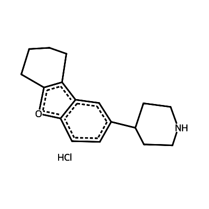 Cl.c1cc2oc3c(c2cc1C1CCNCC1)CCCC3